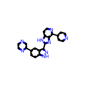 c1cc(-c2nccc3[nH]c(-c4n[nH]c5ccc(-c6cnccn6)cc45)nc23)ccn1